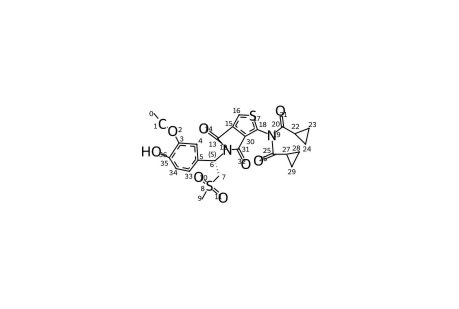 CCOc1cc([C@@H](CS(C)(=O)=O)N2C(=O)c3csc(N(C(=O)C4CC4)C(=O)C4CC4)c3C2=O)ccc1O